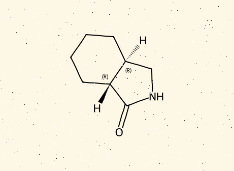 O=C1NC[C@@H]2CCCC[C@@H]12